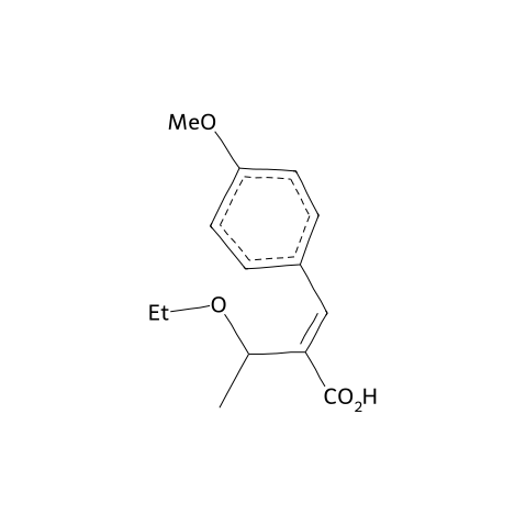 CCOC(C)C(=Cc1ccc(OC)cc1)C(=O)O